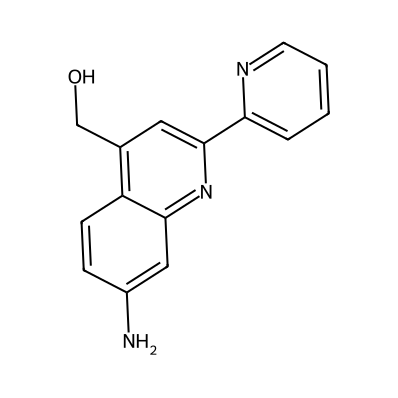 Nc1ccc2c(CO)cc(-c3ccccn3)nc2c1